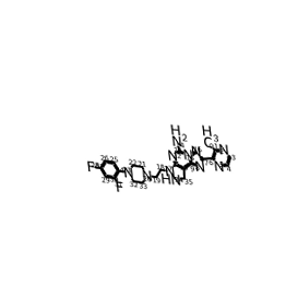 Cc1nccnc1-c1nc2c3c(nc(N)n2n1)N(CCN1CCN(c2ccc(F)cc2F)CC1)NC3